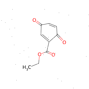 CCOC(=O)C1=CC(=O)C=CC1=O